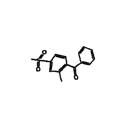 Cc1cc(S(C)(=O)=O)ccc1C(=O)c1ccccc1